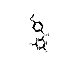 COc1ccc(Nc2nc(F)nc(F)n2)cc1